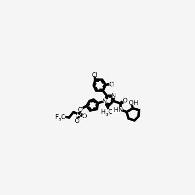 Cc1c(C(=O)NC2CCCCC2O)nc(-c2ccc(Cl)cc2Cl)n1-c1ccc(OS(=O)(=O)CCC(F)(F)F)cc1